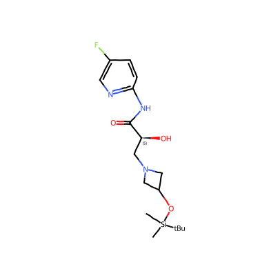 CC(C)(C)[Si](C)(C)OC1CN(C[C@H](O)C(=O)Nc2ccc(F)cn2)C1